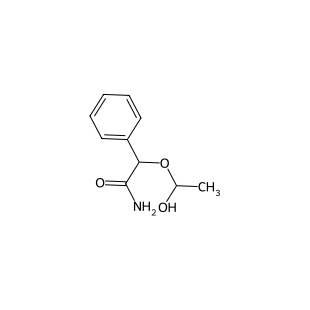 CC(O)OC(C(N)=O)c1ccccc1